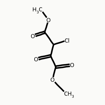 COC(=O)C(=O)C(Cl)C(=O)OC